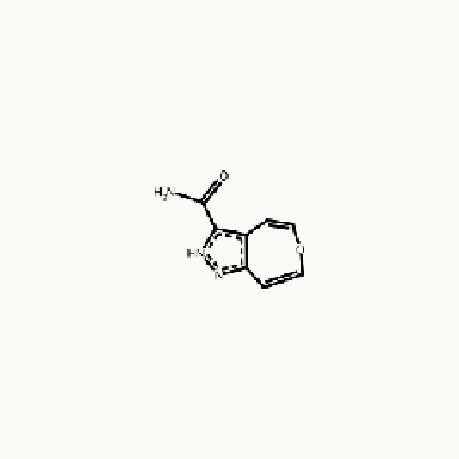 NC(=O)c1[nH]nc2c1C=COC=C2